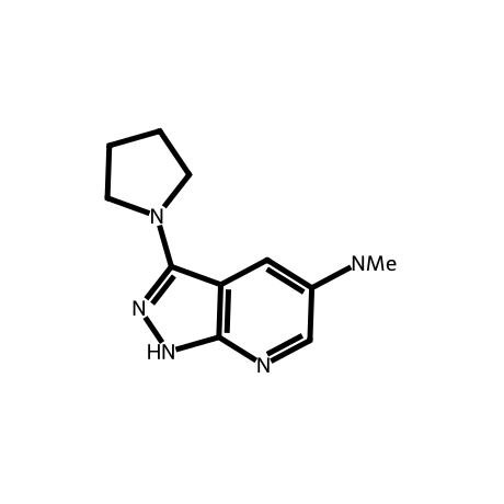 CNc1cnc2[nH]nc(N3CCCC3)c2c1